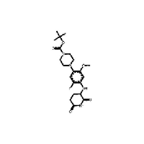 COc1cc(NC2CCC(=O)NC2=O)c(F)cc1N1CCN(C(=O)OC(C)(C)C)CC1